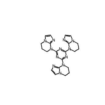 c1cn2c(n1)N(c1nc(N3CCCn4ccnc43)nc(N3CCCn4ccnc43)n1)CCC2